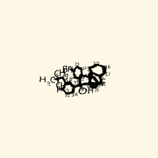 CC(C)(C)CC1=CC(C(O)(C2=C(C3=C4C=CC=CC4CC=C3)C=CC(Br)C2)C2C=CC(F)=CC2)CCC1F